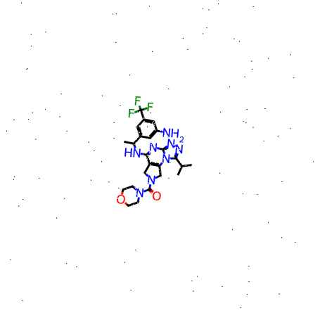 CC(C)c1nnc2nc(NC(C)c3cc(N)cc(C(F)(F)F)c3)c3c(n12)CN(C(=O)N1CCOCC1)C3